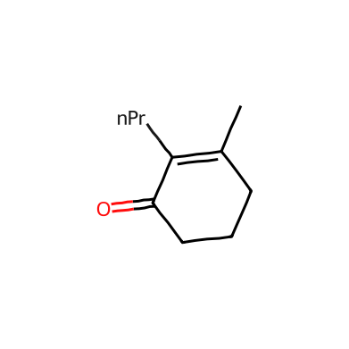 CCCC1=C(C)CCCC1=O